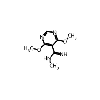 CNC(=N)c1c(OC)ncnc1OC